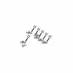 CCCC[O-].CCCC[O-].CCCC[O-].CCCC[O-].CCCC[O-].CCCC[O-].[Ti+6]